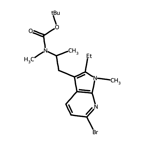 CCc1c(CC(C)N(C)C(=O)OC(C)(C)C)c2ccc(Br)nc2n1C